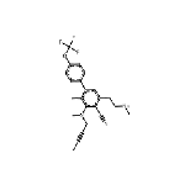 CC#CCN(C)c1c(C)c(-c2ccc(OC(F)(F)F)cc2)cc(CCNC)c1C#N